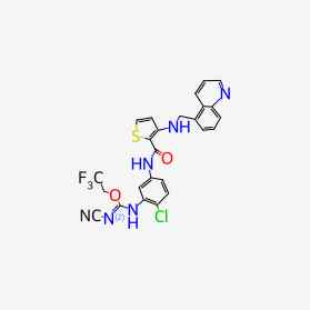 N#C/N=C(/Nc1cc(NC(=O)c2sccc2NCc2cccc3ncccc23)ccc1Cl)OCC(F)(F)F